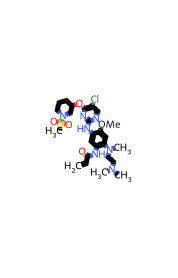 C=CC(=O)Nc1cc(Nc2ncc(Cl)c(OC3CCCN(S(C)(=O)=O)C3)n2)c(OC)cc1N(C)CCN(C)C